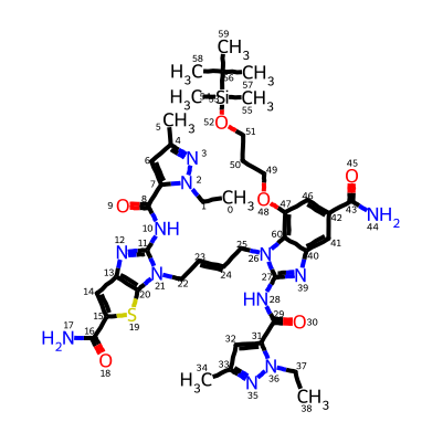 CCn1nc(C)cc1C(=O)Nc1nc2cc(C(N)=O)sc2n1C/C=C/Cn1c(NC(=O)c2cc(C)nn2CC)nc2cc(C(N)=O)cc(OCCCO[Si](C)(C)C(C)(C)C)c21